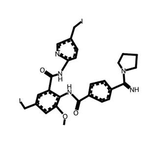 COc1cc(CI)cc(C(=O)Nc2ccc(CI)cn2)c1NC(=O)c1ccc(C(=N)N2CCCC2)cc1